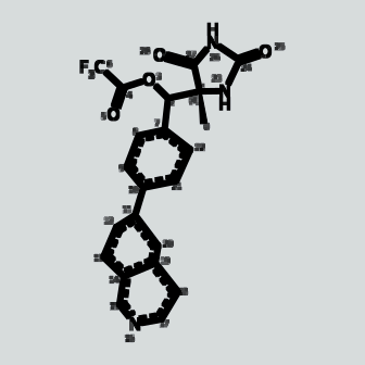 C[C@]1(C(OC(=O)C(F)(F)F)c2ccc(-c3ccc4cnccc4c3)cc2)NC(=O)NC1=O